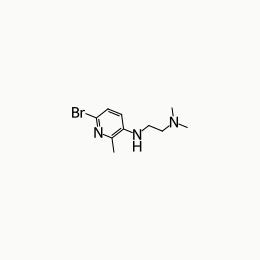 Cc1nc(Br)ccc1NCCN(C)C